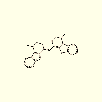 CC1COC(C=C2OCC(C)[n+]3c2sc2ccccc23)=C2Sc3ccccc3N21